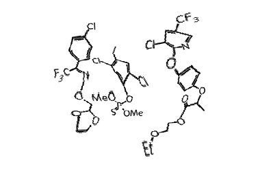 CCOCCOC(=O)C(C)Oc1ccc(Oc2ncc(C(F)(F)F)cc2Cl)cc1.COP(=S)(OC)Oc1cc(Cl)c(I)cc1Cl.FC(F)(F)/C(=N\OCC1OCCO1)c1ccc(Cl)cc1